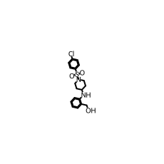 O=S(=O)(c1ccc(Cl)cc1)N1CCC(Nc2ccccc2CO)CC1